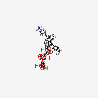 CN(C)c1ccc(C#Cc2cc(C(C)(C)CC(C)(C)OP(=O)(O)OCCOP(=O)(O)OCCOP(=O)(O)O)c(C#Cc3ccc(N(C)C)cc3)c3ccccc23)cc1